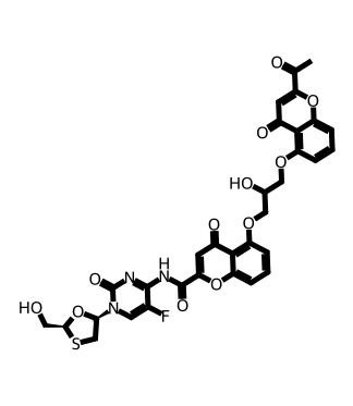 CC(=O)c1cc(=O)c2c(OCC(O)COc3cccc4oc(C(=O)Nc5nc(=O)n([C@H]6CS[C@@H](CO)O6)cc5F)cc(=O)c34)cccc2o1